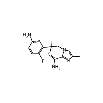 Cc1cn2c(n1)C(N)=NC(C)(c1cc(N)ccc1F)C2